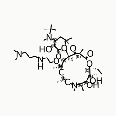 CC[C@H]1OC(=O)[C@H](C)C(=O)[C@H](C)[C@@H](O[C@@H]2O[C@H](C)C[C@H](N(C)C(C)(C)C)[C@H]2O)[C@](C)(OCCNCCCN(C)C)C[C@@H](C)CN(C)[C@H](C)[C@@H](O)[C@]1(C)O